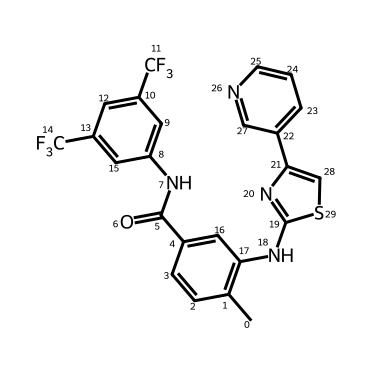 Cc1ccc(C(=O)Nc2cc(C(F)(F)F)cc(C(F)(F)F)c2)cc1Nc1nc(-c2cccnc2)cs1